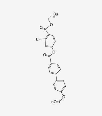 CCCCCCCCOc1ccc(-c2ccc(C(=O)Oc3ccc(C(=O)OC[C@@H](C)CC)c(Cl)c3)cc2)cc1